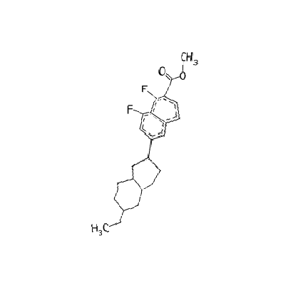 CCC1CCC2CC(c3cc(F)c4c(F)c(C(=O)OC)ccc4c3)CCC2C1